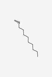 C=NCCCCCCCCC